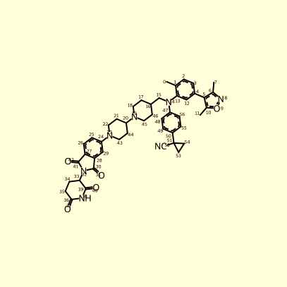 Cc1ccc(-c2c(C)noc2C)cc1N(CC1CCN(C2CCN(c3ccc4c(c3)C(=O)N(C3CCC(=O)NC3=O)C4=O)CC2)CC1)c1ccc(C2(C#N)CC2)cc1